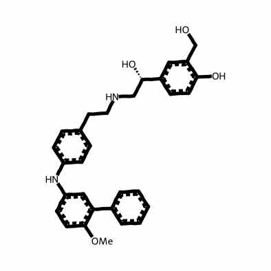 COc1ccc(Nc2ccc(CCNC[C@H](O)c3ccc(O)c(CO)c3)cc2)cc1-c1ccccc1